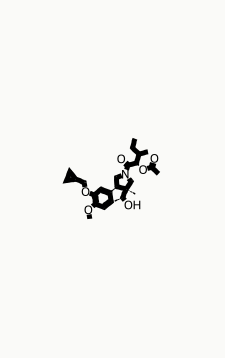 CCC(C)[C@H](OC(C)=O)C(=O)N1C[C@@H](c2ccc(OC)c(OCC3CC3)c2)[C@](C)([C@@H](C)O)C1